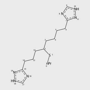 CCCSC(CCCCc1nc[nH]n1)CCCc1nc[nH]n1